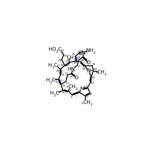 CC1=CC2=NC\1=C/C(C)=C(C)/C(CCC(=O)NCCC(=O)NN)=C(C)/C=C(C)/C(CCC(=O)O)=C(C)\C(=C\C(C)C)\C=C1\CC(C)/C(=C/2)N1